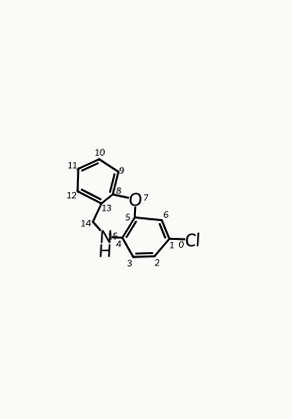 Clc1ccc2c(c1)Oc1ccccc1CN2